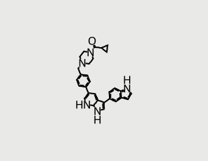 O=C(C1CC1)N1CCN(Cc2ccc(C3=CNC4NC=C(c5ccc6[nH]ccc6c5)C4=C3)cc2)CC1